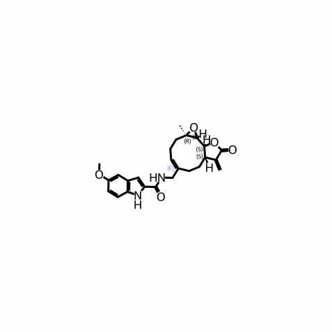 C=C1C(=O)O[C@H]2[C@H]1CC/C(CNC(=O)c1cc3cc(OC)ccc3[nH]1)=C\CC[C@@]1(C)O[C@@H]21